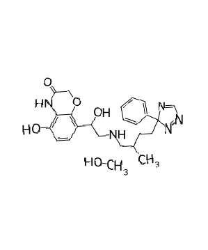 CC(CCC1(c2ccccc2)N=CN=N1)CNCC(O)c1ccc(O)c2c1OCC(=O)N2.CO